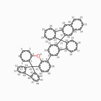 c1ccc2c(c1)Oc1c(-c3ccc4c(c3)-c3ccccc3C43c4ccccc4-c4cc5ccccc5cc43)cccc1C21c2ccccc2-c2ccccc21